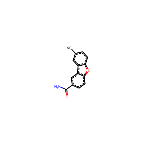 N#Cc1ccc2oc3ccc(C(N)=O)cc3c2c1